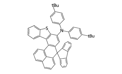 CC(C)(C)c1ccc(N(c2ccc(C(C)(C)C)cc2)c2cc3c(c4c2sc2ccccc24)-c2cccc4cccc(c24)C32c3ccccc3-c3ccccc32)cc1